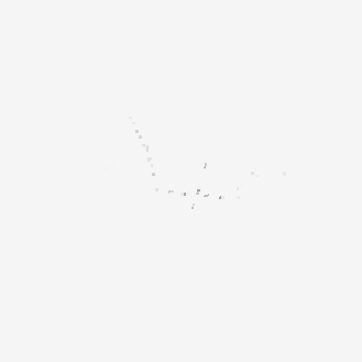 C=CC(C)(C)CC(C)(C)O